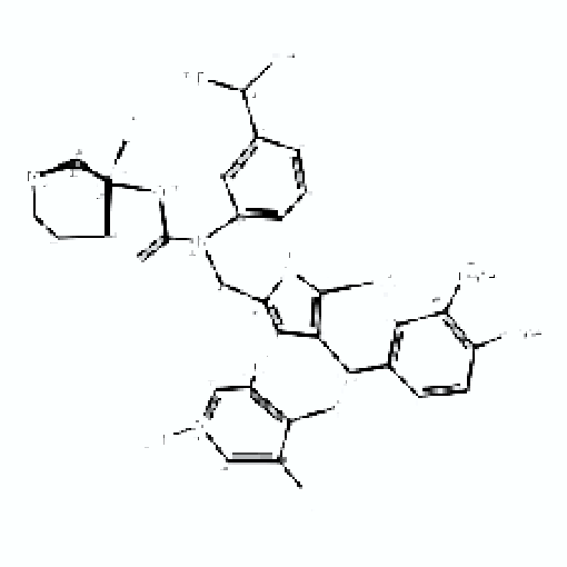 COc1ccc([C@H](Cc2c(Cl)c[n+]([O-])cc2Cl)c2cc(CN(C(=O)O[C@H]3CN4CCC3CC4)c3cccc(C(F)F)c3)sc2C(=O)O)cc1OC